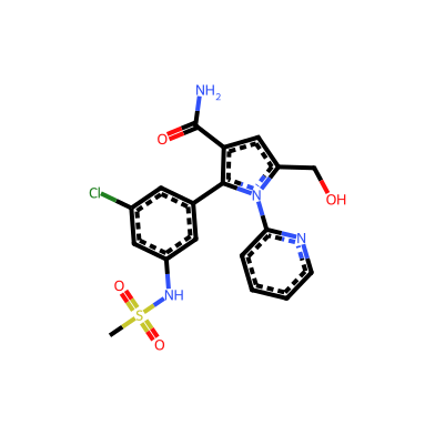 CS(=O)(=O)Nc1cc(Cl)cc(-c2c(C(N)=O)cc(CO)n2-c2ccccn2)c1